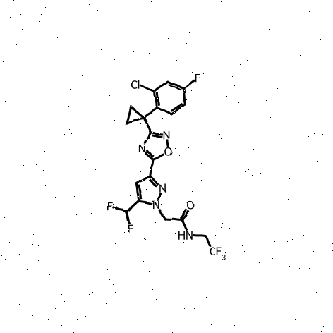 O=C(Cn1nc(-c2nc(C3(c4ccc(F)cc4Cl)CC3)no2)cc1C(F)F)NCC(F)(F)F